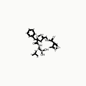 Cc1nocc1C(=O)NCC1=NOC(Cc2ccccc2)(C(=O)N[C@@H](CC(C)C)B(O)O)C1